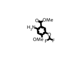 COC(=O)c1cc(OC(F)F)c(OC)cc1N